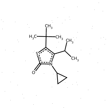 CC(C)c1c(C(C)(C)C)sc(=O)n1C1CC1